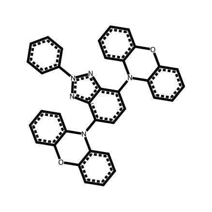 c1ccc(-n2nc3c(N4c5ccccc5Oc5ccccc54)ccc(N4c5ccccc5Oc5ccccc54)c3n2)cc1